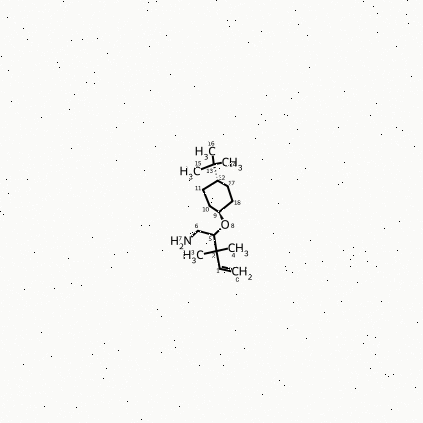 C=CC(C)(C)C(CN)O[C@H]1CC[C@H](C(C)(C)C)CC1